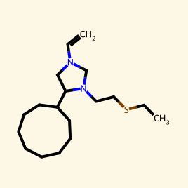 C=CN1CC(C2CCCCCCCC2)N(CCSCC)C1